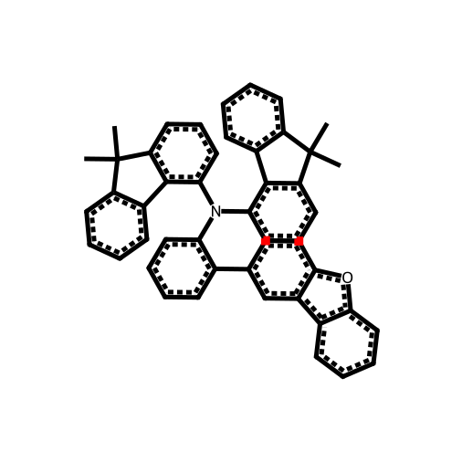 CC1(C)c2ccccc2-c2c(N(c3ccccc3-c3ccc4oc5ccccc5c4c3)c3cccc4c3-c3ccccc3C4(C)C)cccc21